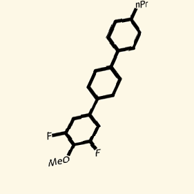 CCCC1CCC(C2CCC(C3CC(F)C(OC)C(F)C3)CC2)CC1